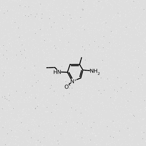 CCNc1cc(C)c(N)c[n+]1[O-]